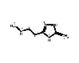 C=C1NN=C(CCNC)N1